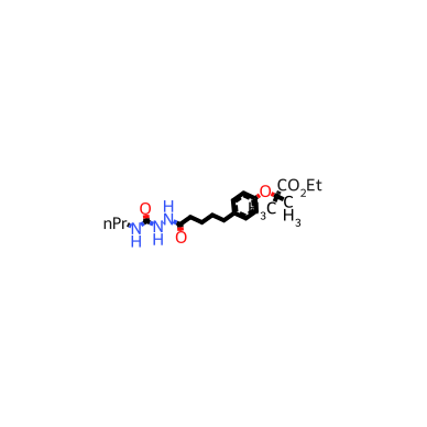 CCCNC(=O)NNC(=O)CCCCc1ccc(OC(C)(C)C(=O)OCC)cc1